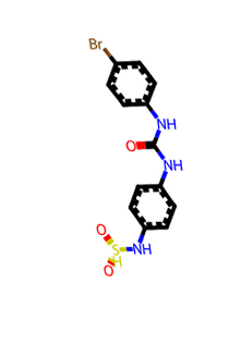 O=C(Nc1ccc(Br)cc1)Nc1ccc(N[SH](=O)=O)cc1